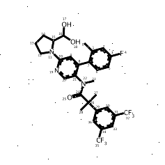 Cc1cc(F)ccc1-c1cc(N2CCCC2C(O)O)ncc1N(C)C(=O)C(C)(C)c1cc(C(F)(F)F)cc(C(F)(F)F)c1